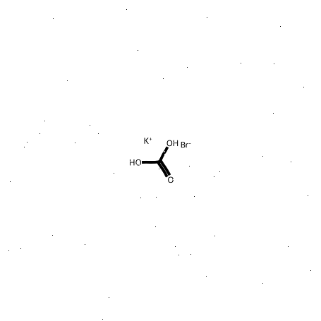 O=C(O)O.[Br-].[K+]